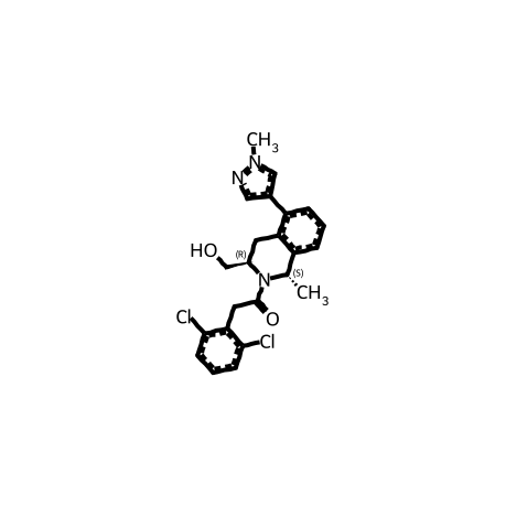 C[C@H]1c2cccc(-c3cnn(C)c3)c2C[C@H](CO)N1C(=O)Cc1c(Cl)cccc1Cl